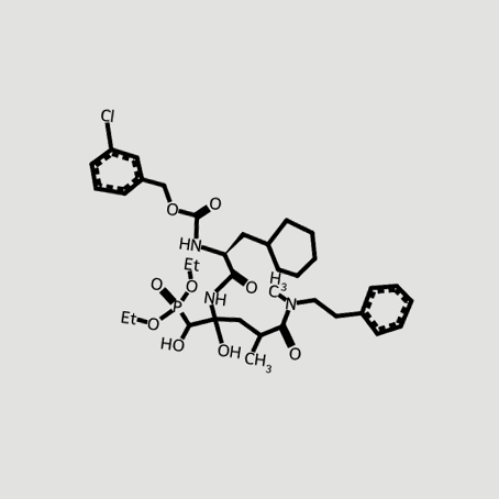 CCOP(=O)(OCC)C(O)C(O)(CC(C)C(=O)N(C)CCc1ccccc1)NC(=O)[C@H](CC1CCCCC1)NC(=O)OCc1cccc(Cl)c1